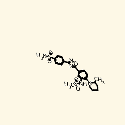 CC1CCCCN1c1ccc(-c2nc(-c3ccc(S(N)(=O)=O)cc3)no2)cc1NS(C)(=O)=O